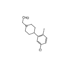 O=CCN1CCC(c2cc(Cl)ccc2I)CC1